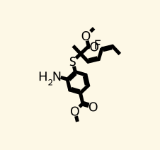 C/C=C(F)\C=C/C(C)(Sc1ccc(C(=O)OC)cc1N)C(=O)OC